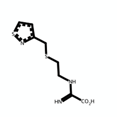 N=C(NCCSCc1ccsn1)C(=O)O